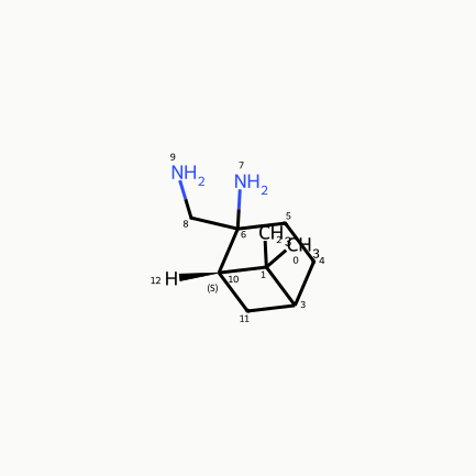 CC1(C)C2CCC(N)(CN)[C@H]1C2